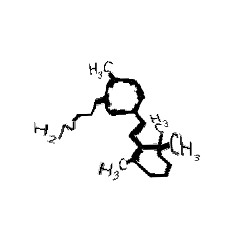 CC1=C(C=Cc2ccc(C)c(CCCN)c2)C(C)(C)CCC1